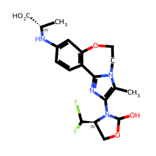 Cc1c(N2C(O)OC[C@H]2C(F)F)nc2n1CCOc1cc(N[C@@H](C)C(=O)O)ccc1-2